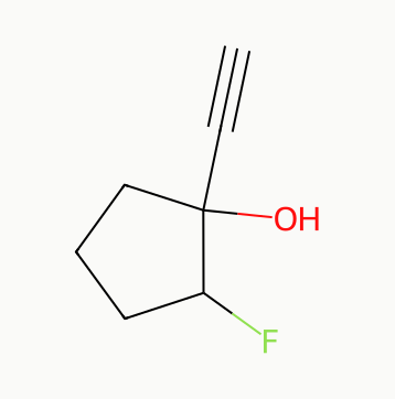 C#CC1(O)CCCC1F